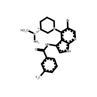 NN(C(=O)O)[C@@H]1CCCN(c2c(Br)cnc3[nH]cc(NC(=O)c4cccc(C(F)(F)F)c4)c23)C1